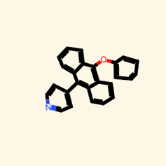 c1ccc(Oc2c3ccccc3c(-c3ccncc3)c3ccccc23)cc1